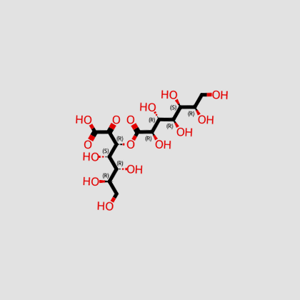 O=C(O)C(=O)[C@H](OC(=O)[C@H](O)[C@H](O)[C@H](O)[C@@H](O)[C@H](O)CO)[C@@H](O)[C@H](O)[C@H](O)CO